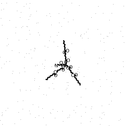 CCCCCCCC(=O)OCCCCC(=O)OCC(COC(=O)CCCCOC(=O)CCCCCCC)(COC(=O)CCCCOC(=O)CCCCCCC)COC(=O)CCN(C)C